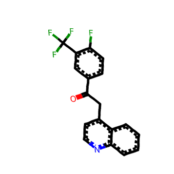 O=C(Cc1ccnc2ccccc12)c1ccc(F)c(C(F)(F)F)c1